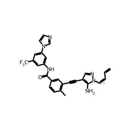 C=C/C=C\n1ncc(C#Cc2cc(C(=O)Nc3cc(-n4ccnc4)cc(C(F)(F)F)c3)ccc2C)c1N